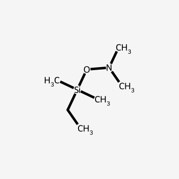 CC[Si](C)(C)ON(C)C